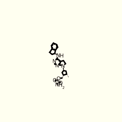 C[C@H]1C[C@H](N2CCc3c(N[C@H]4CCc5ccccc54)ncnc32)C[C@H]1COS(N)(=O)=O